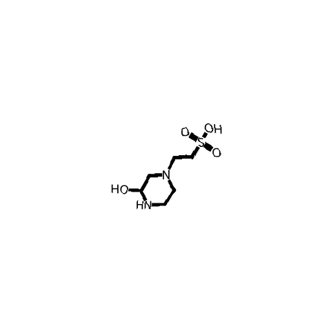 O=S(=O)(O)CCN1CCNC(O)C1